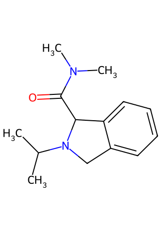 CC(C)N1Cc2ccccc2C1C(=O)N(C)C